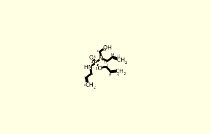 C=CCNP(=O)(OCC=C)N(CO)CC=C